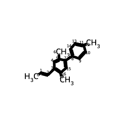 CC=Cc1cc(C)c(-c2ccc(C)cc2)cc1C